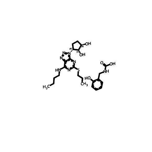 CCCCNc1nc(SCCC)nc2c1nnn2[C@@H]1CC[C@@H](O)[C@H]1O.O=C(O)NCc1ccccc1O